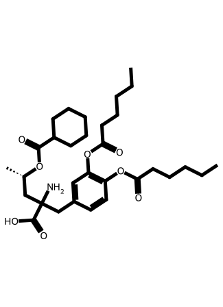 CCCCCC(=O)Oc1ccc(CC(N)(C[C@H](C)OC(=O)C2CCCCC2)C(=O)O)cc1OC(=O)CCCCC